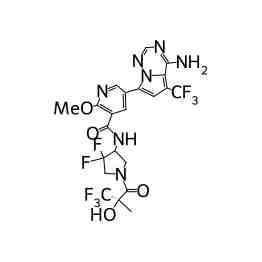 COc1ncc(-c2cc(C(F)(F)F)c3c(N)ncnn23)cc1C(=O)NC1CN(C(=O)[C@@](C)(O)C(F)(F)F)CC1(F)F